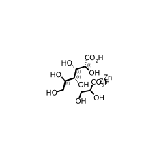 O=C(O)C(O)CO.O=C(O)[C@H](O)[C@@H](O)[C@H](O)[C@H](O)CO.[Zn].[Zn]